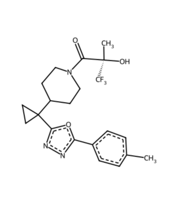 Cc1ccc(-c2nnc(C3(C4CCN(C(=O)[C@@](C)(O)C(F)(F)F)CC4)CC3)o2)cc1